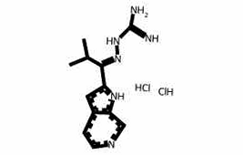 CC(C)/C(=N\NC(=N)N)c1cc2ccncc2[nH]1.Cl.Cl